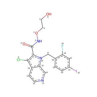 O=C(NOCCO)c1c(Cl)c2ccncc2n1Cc1ccc(I)cc1F